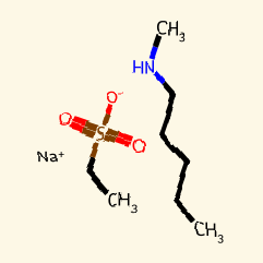 CCCCCNC.CCS(=O)(=O)[O-].[Na+]